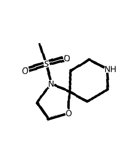 CS(=O)(=O)N1CCOC12CCNCC2